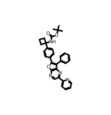 CC(C)(C)OC(=O)NC1(c2ccc(-c3oc4ncc(-c5ccccn5)nc4c3-c3ccccc3)cc2)CCC1